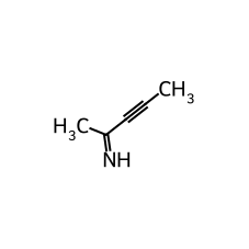 CC#CC(C)=N